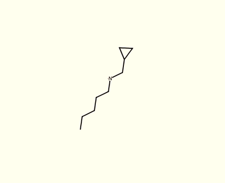 CCCCC[N]CC1CC1